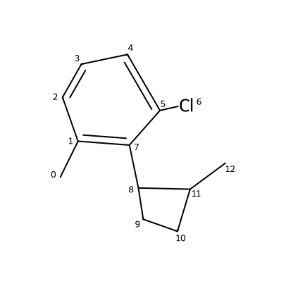 Cc1cccc(Cl)c1C1CCC1C